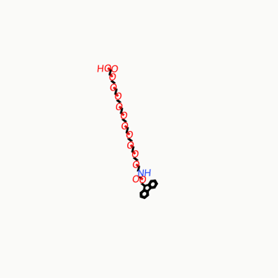 O=C(O)COCCOCCOCCOCCOCCOCCOCCOCCOCCOCCNC(=O)OCC1c2ccccc2-c2ccccc21